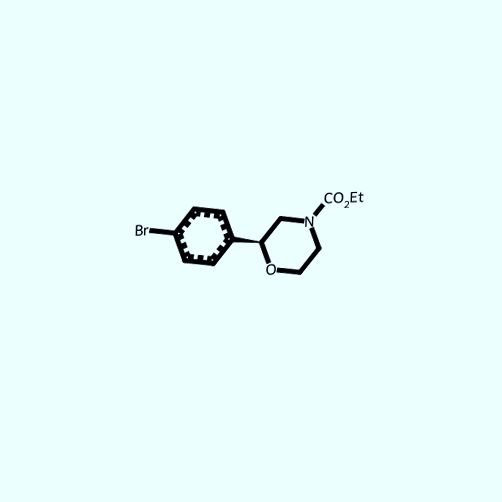 CCOC(=O)N1CCO[C@@H](c2ccc(Br)cc2)C1